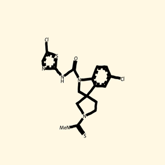 CNC(=S)N1CCC2(C1)CN(C(=O)Nc1ncc(Cl)s1)c1ccc(Cl)cc12